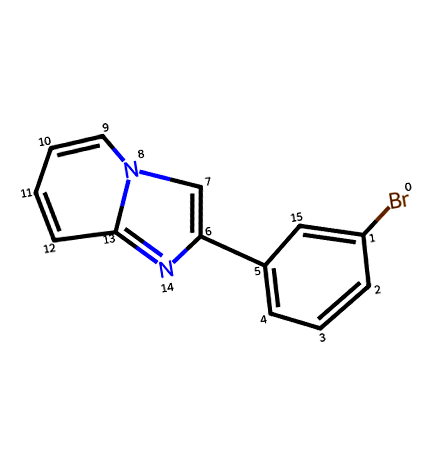 Brc1cccc(-c2cn3ccccc3n2)c1